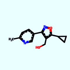 Cc1ccc(-c2noc(C3CC3)c2CO)cn1